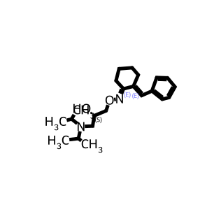 CC(C)N(C[C@H](O)CO/N=C1\CCCC\C1=C/c1ccccc1)C(C)C